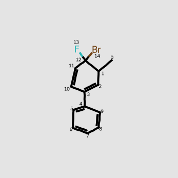 CC1C=C(c2ccccc2)C=CC1(F)Br